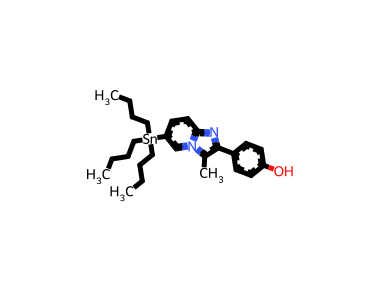 CCC[CH2][Sn]([CH2]CCC)([CH2]CCC)[c]1ccc2nc(-c3ccc(O)cc3)c(C)n2c1